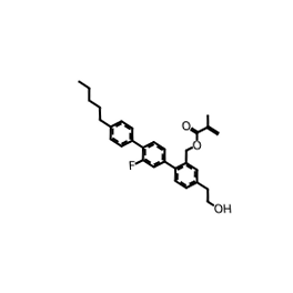 C=C(C)C(=O)OCc1cc(CCO)ccc1-c1ccc(-c2ccc(CCCCC)cc2)c(F)c1